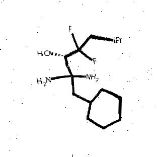 CC(C)CC(F)(F)[C@@H](O)C(N)(N)CC1CCCCC1